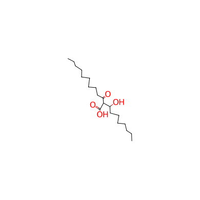 CCCCCCCCCC(=O)C(C(=O)O)C(O)CCCCCCC